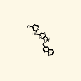 Clc1ccnc(Nc2cnc3nnn(Cc4ccc5ncccc5c4)c3n2)c1